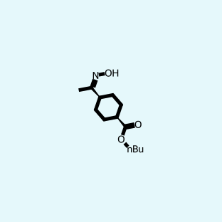 CCCCOC(=O)[C@H]1CC[C@@H](/C(C)=N\O)CC1